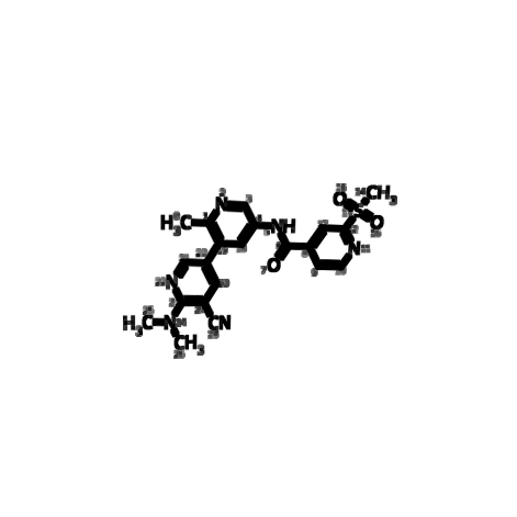 Cc1ncc(NC(=O)c2ccnc(S(C)(=O)=O)c2)cc1-c1cnc(N(C)C)c(C#N)c1